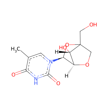 Cc1cn([C@H]2OC3(CO)CO[C@@H]2[C@@H]3O)c(=O)[nH]c1=O